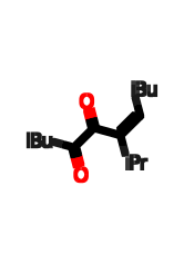 CCC(C)C=C(C(=O)C(=O)C(C)CC)C(C)C